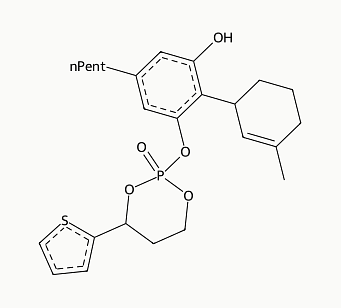 CCCCCc1cc(O)c(C2C=C(C)CCC2)c(OP2(=O)OCCC(c3cccs3)O2)c1